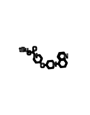 CC(C)(C)OC(=O)N1CCC(OC2CCN(C3CCCc4ncccc43)CC2)CC1